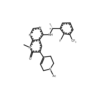 CC(=O)N1CC=C(c2cc3c(N[C@H](C)c4cccc(C(F)(F)F)c4F)ncnc3n(C)c2=O)CC1